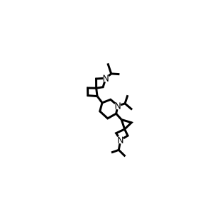 CC(C)N1CC2(CCC2C2CCC(C3CC34CN(C(C)C)C4)N(C(C)C)C2)C1